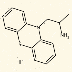 CC(N)CN1c2ccccc2Sc2ccccc21.I